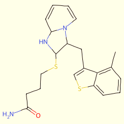 Cc1cccc2scc(CC3C(SCCCC(N)=O)NC4C=CC=CN43)c12